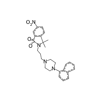 CC1(C)c2ccc([N+](=O)[O-])cc2S(=O)(=O)N1CCCN1CCN(c2cccc3ccccc23)CC1